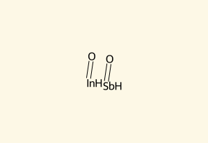 [O]=[InH].[O]=[SbH]